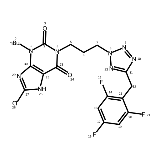 CCCCn1c(=O)n(CCCn2nnc(Cc3c(F)cc(F)cc3F)n2)c(=O)c2[nH]c(Cl)nc21